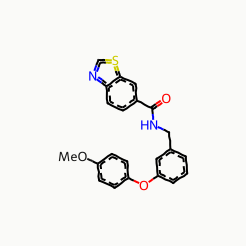 COc1ccc(Oc2cccc(CNC(=O)c3ccc4ncsc4c3)c2)cc1